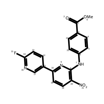 COC(=O)c1ccc(Nc2nc(-c3ccc(F)nc3)ccc2[N+](=O)[O-])cc1